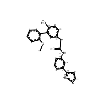 COc1ccccc1-c1cc(CC(=O)Nc2cccc(-c3ccc[nH]3)c2)ccc1O